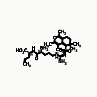 C=CC[C@@H](NC(=O)[C@@H](N)CCCNC(N)=NS(=O)(=O)C1=C2C(C)=C(C)OC(C)=C2CCC1(C)C)C(=O)O